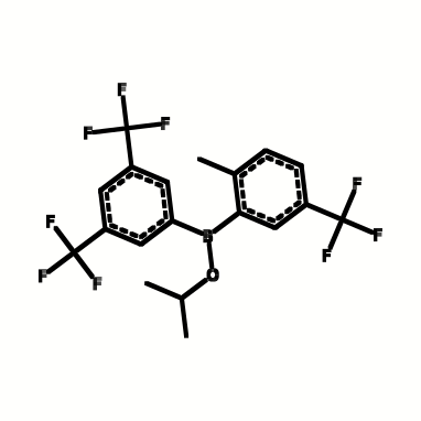 Cc1ccc(C(F)(F)F)cc1B(OC(C)C)c1cc(C(F)(F)F)cc(C(F)(F)F)c1